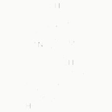 CCCCN(Cc1ccc(C(=O)O)c(-c2ccccc2C)c1)Cc1ccco1